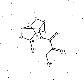 C=C(CO)C(=O)OC1C2CC3C(O)OC1C3C2